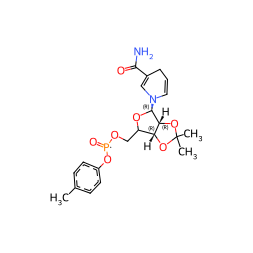 Cc1ccc(O[P](=O)OCC2O[C@@H](N3C=CCC(C(N)=O)=C3)[C@@H]3OC(C)(C)O[C@H]23)cc1